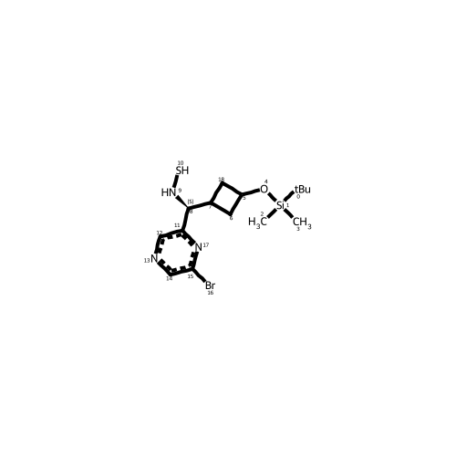 CC(C)(C)[Si](C)(C)OC1CC([C@H](NS)c2cncc(Br)n2)C1